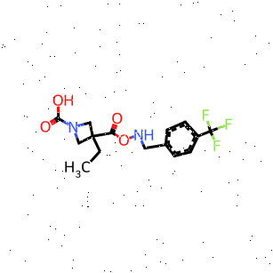 CCC1(C(=O)ONCc2ccc(C(F)(F)F)cc2)CN(C(=O)O)C1